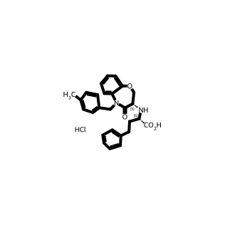 Cc1ccc(CN2C(=O)[C@@H](N[C@@H](CCc3ccccc3)C(=O)O)COc3ccccc32)cc1.Cl